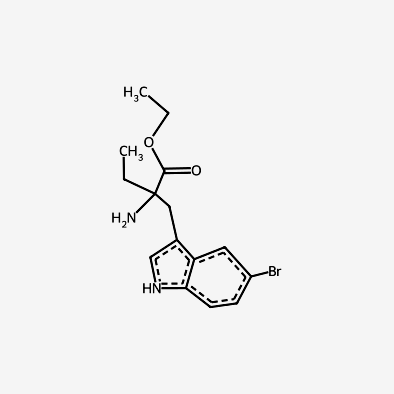 CCOC(=O)C(N)(CC)Cc1c[nH]c2ccc(Br)cc12